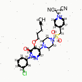 C#CCCCOc1c(N2CCN(S(=O)(=O)Cc3cc[n+]([C-](C#N)C#N)cc3)CC2)cnn(-c2cccc(Cl)c2)c1=O